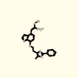 CCO/C(=C/c1ccc(OCCc2nc(-c3ccccc3)oc2C)c2sccc12)C(=O)O